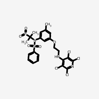 Cc1cc(OCCNc2c(Cl)c(Cl)nc(Cl)c2Cl)cc(N(C(C)(C)P(=O)=O)S(=O)(=O)c2ccccc2)c1